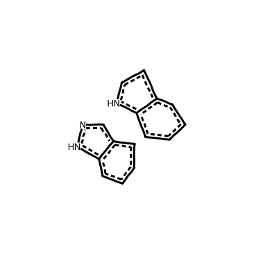 c1ccc2[nH]ccc2c1.c1ccc2[nH]ncc2c1